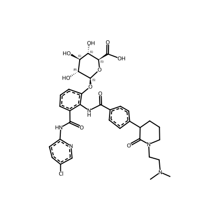 CN(C)CCN1CCCC(c2ccc(C(=O)Nc3c(O[C@@H]4O[C@H](C(=O)O)[C@@H](O)[C@H](O)[C@H]4O)cccc3C(=O)Nc3ccc(Cl)cn3)cc2)C1=O